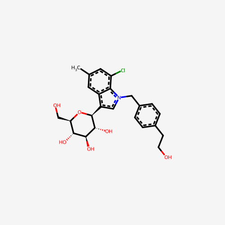 Cc1cc(Cl)c2c(c1)c([C@@H]1O[C@H](CO)[C@@H](O)[C@H](O)[C@H]1O)cn2Cc1ccc(CCO)cc1